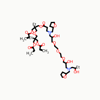 C=CC(=O)OCC(CC)(COCC(CC)(COC(=O)C=C)COC(=O)CCN(CC(O)COCCOCCOCC(O)CN(CC(O)CC)CC1CCCO1)CC1CCCO1)COC(=O)C=C